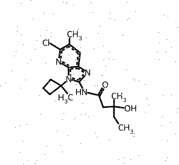 CCC(C)(O)CC(=O)Nc1nc2cc(C)c(Cl)nc2n1C1(C)CCC1